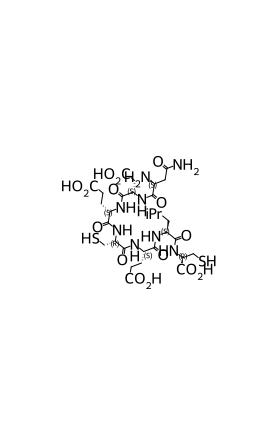 CC(C)C[C@H](NC(=O)[C@H](CCC(=O)O)NC(=O)[C@H](CS)NC(=O)[C@H](CCC(=O)O)NC(=O)[C@H](CC(=O)O)NC(=O)[C@@H](N)CC(N)=O)C(=O)N[C@@H](CS)C(=O)O